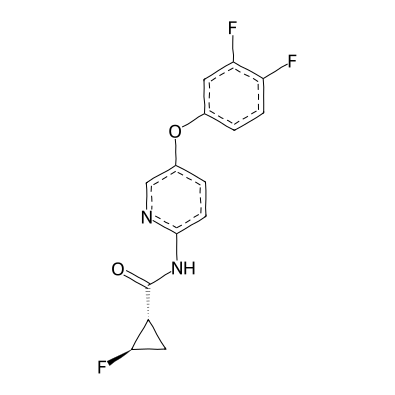 O=C(Nc1ccc(Oc2ccc(F)c(F)c2)cn1)[C@@H]1C[C@H]1F